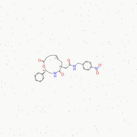 O=C(C[C@@H]1C/C=C/CCC(=O)O[C@H](c2ccccc2)CNC1=O)NCc1ccc([N+](=O)[O-])cc1